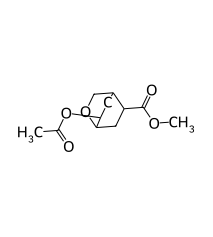 COC(=O)C1CC2OCC1CC2OC(C)=O